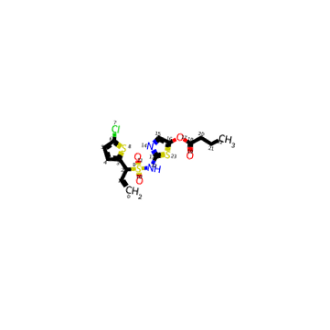 C=CC(c1ccc(Cl)s1)S(=O)(=O)Nc1ncc(OC(=O)CCC)s1